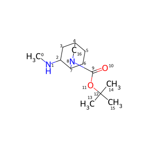 CNC1CC2CCC1N(C(=O)OC(C)(C)C)C2